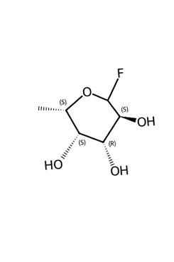 C[C@@H]1OC(F)[C@@H](O)[C@H](O)[C@@H]1O